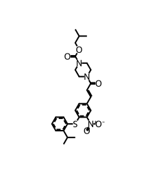 CC(C)COC(=O)N1CCN(C(=O)C=Cc2ccc(Sc3ccccc3C(C)C)c([N+](=O)[O-])c2)CC1